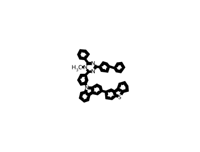 CN1C(c2ccccc2)=NC(c2ccc(-c3ccccc3)cc2)=NC1c1cccc(-n2c3ccccc3c3cc(-c4ccc5sc6ccccc6c5c4)ccc32)c1